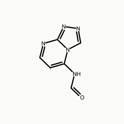 O=CNc1[c]cnc2nncn12